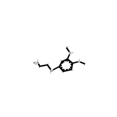 COc1ccc([Se]CCN)cc1OC